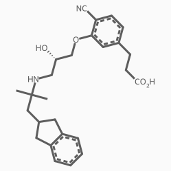 CC(C)(CC1Cc2ccccc2C1)NC[C@H](O)COc1cc(CCC(=O)O)ccc1C#N